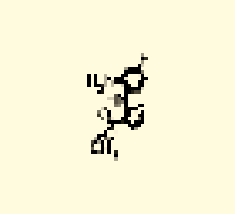 CCOC(=O)c1ccsc1Nc1ccc(F)cc1N